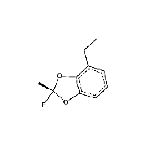 CCc1cccc2c1O[C@@](C)(F)O2